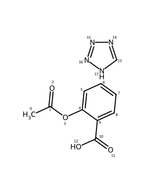 CC(=O)Oc1ccccc1C(=O)O.c1nnn[nH]1